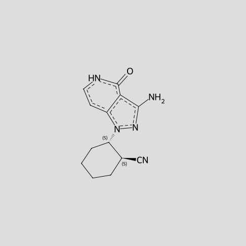 N#C[C@H]1CCCC[C@@H]1n1nc(N)c2c(=O)[nH]ccc21